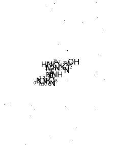 CN1CCN(c2cncc3[nH]c(-c4n[nH]c5ccc(-c6cncc(O)c6)nc45)nc23)CC1